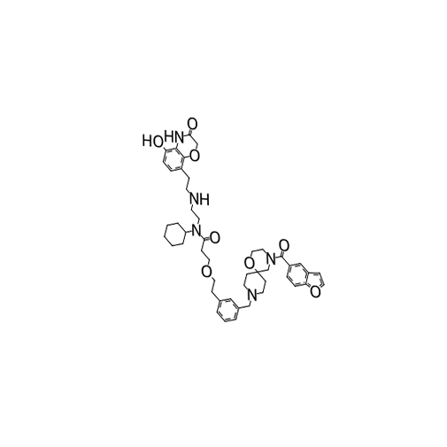 O=C1COc2c(CCNCCN(C(=O)CCOCCc3cccc(CN4CCC5(CC4)CN(C(=O)c4ccc6occc6c4)CCO5)c3)C3CCCCC3)ccc(O)c2N1